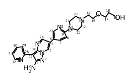 Nc1nn2cc(-c3ccc(N4CCN(CCOCCO)CC4)nc3)cnc2c1-c1ccccn1